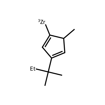 CCC(C)(C)C1=CC(C)[C]([3Zr])=C1